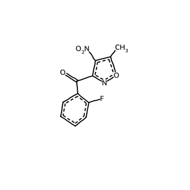 Cc1onc(C(=O)c2ccccc2F)c1[N+](=O)[O-]